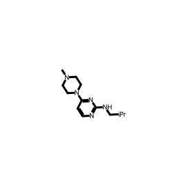 CC(C)CNc1nccc(N2CCN(C)CC2)n1